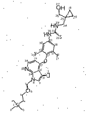 C[Si](C)(C)CCOCn1cc(Cl)c2c(Oc3c(F)cc(NC(=S)NCC4(CO)CC4)cc3F)ccnc21